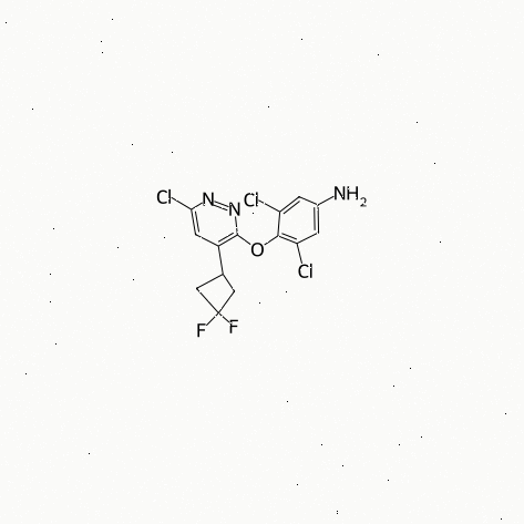 Nc1cc(Cl)c(Oc2nnc(Cl)cc2C2CC(F)(F)C2)c(Cl)c1